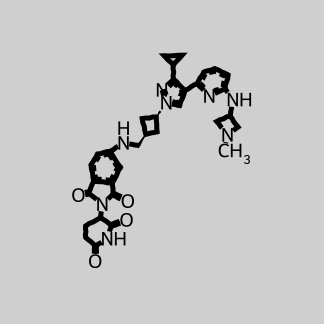 CN1CC(Nc2cccc(-c3cn([C@H]4C[C@H](CNc5ccc6c(c5)C(=O)N(C5CCC(=O)NC5=O)C6=O)C4)nc3C3CC3)n2)C1